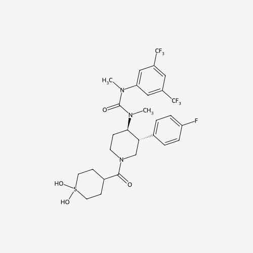 CN(C(=O)N(C)[C@@H]1CCN(C(=O)C2CCS(O)(O)CC2)C[C@H]1c1ccc(F)cc1)c1cc(C(F)(F)F)cc(C(F)(F)F)c1